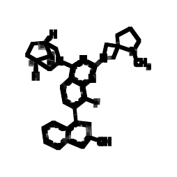 CN1CCCC12CN(c1nc(N3C[C@H]4CC[C@@H](C3)N4)c3ccc(-c4cc(O)cc5ccccc45)c(F)c3n1)C2